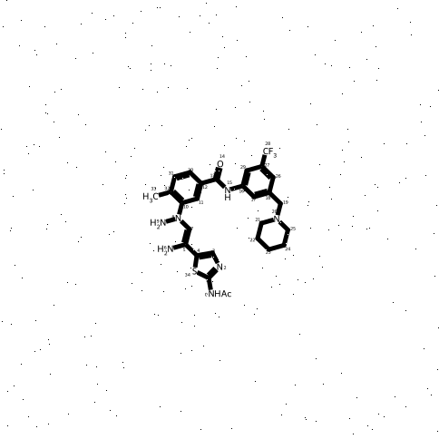 CC(=O)Nc1ncc(/C(N)=C/N(N)c2cc(C(=O)Nc3cc(CN4CCCCC4)cc(C(F)(F)F)c3)ccc2C)s1